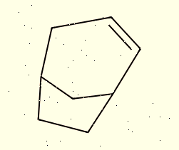 C1=CC2CCC(C1)C2